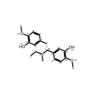 CCN(C)[C@H](Cc1ccc(OC)c(O)c1)c1ccc(OC)c(O)c1